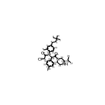 Cc1cc(CCC(C)(C)C)ccc1N(C(=O)CCl)C(C(=O)N1CCN[C@@H](C(C)C)C1)c1ccc(F)cc1